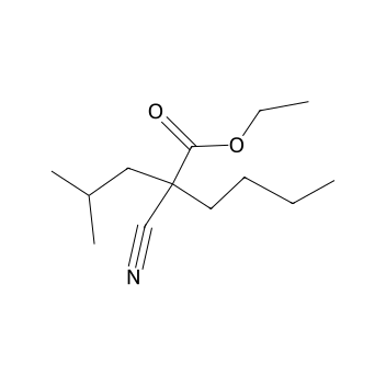 CCCCC(C#N)(CC(C)C)C(=O)OCC